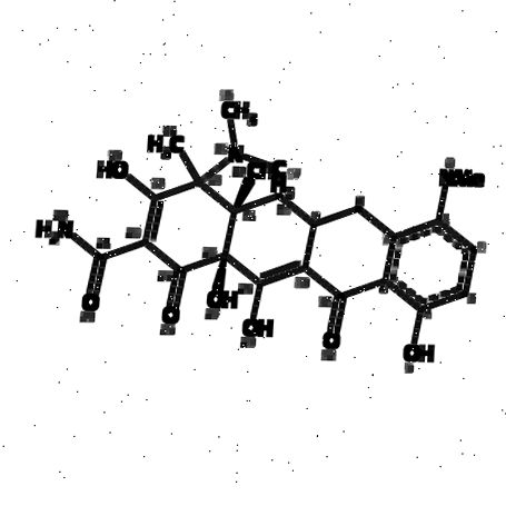 CNc1ccc(O)c2c1CC1C[C@@]3(C)C(C)(N(C)C)C(O)=C(C(N)=O)C(=O)[C@@]3(O)C(O)=C1C2=O